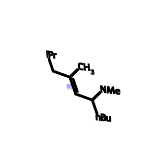 CCCCC(/C=C(\C)CC(C)C)NC